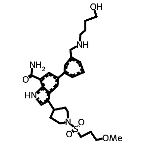 COCCCS(=O)(=O)N1CCC(c2c[nH]c3c(C(N)=O)cc(-c4cccc(CNCCCCO)c4)cc23)CC1